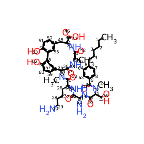 CCCCCCc1ccc(C(=O)N(C)C(CO)C(=O)N[C@H](N)C(=O)N[C@@H](CCCCN)C(=O)N(C)[C@@H]2C(=O)N[C@@H](C)C(=O)NC(C(=O)O)Cc3ccc(O)c(c3)-c3cc2ccc3O)cc1